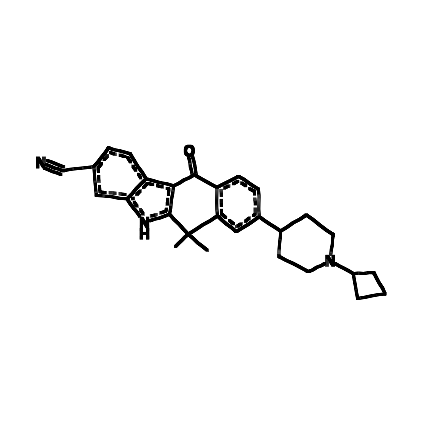 CC1(C)c2cc(C3CCN(C4CCC4)CC3)ccc2C(=O)c2c1[nH]c1cc(C#N)ccc21